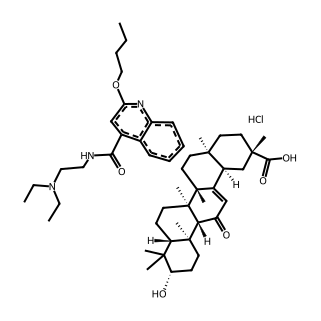 CC1(C)[C@@H](O)CC[C@]2(C)[C@H]3C(=O)C=C4[C@@H]5C[C@@](C)(C(=O)O)CC[C@]5(C)CC[C@@]4(C)[C@]3(C)CC[C@@H]12.CCCCOc1cc(C(=O)NCCN(CC)CC)c2ccccc2n1.Cl